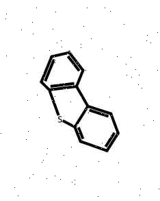 [c]1[c]c2c(cc1)sc1ccccc12